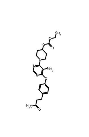 CCOC(=O)OC1CCN(c2ncnc(Oc3ccc(CCC(C)=O)cc3)c2N)CC1